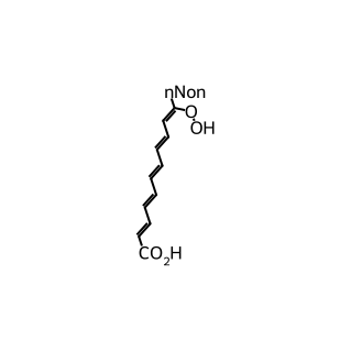 CCCCCCCCCC(=CC=CC=CC=CC=CC(=O)O)OO